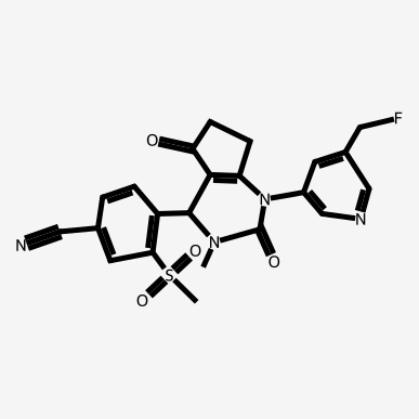 CN1C(=O)N(c2cncc(CF)c2)C2=C(C(=O)CC2)C1c1ccc(C#N)cc1S(C)(=O)=O